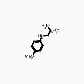 CC[C@@H](N)CNc1ccc(OC)cc1